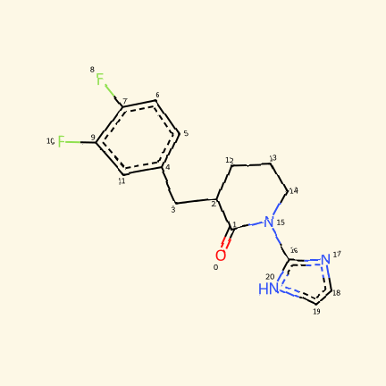 O=C1C(Cc2ccc(F)c(F)c2)CCCN1c1ncc[nH]1